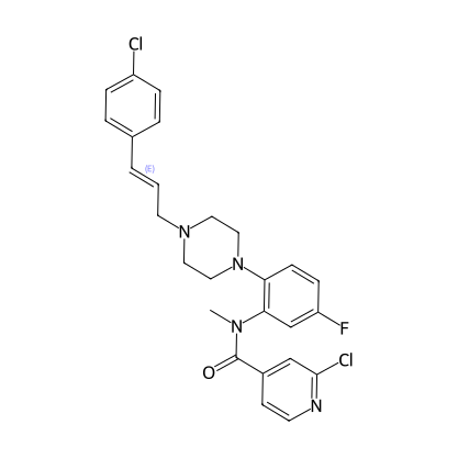 CN(C(=O)c1ccnc(Cl)c1)c1cc(F)ccc1N1CCN(C/C=C/c2ccc(Cl)cc2)CC1